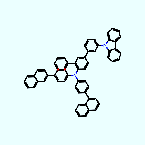 c1ccc(-c2cc(-c3cccc(-n4c5ccccc5c5ccccc54)c3)ccc2N(c2ccc(-c3ccc4ccccc4c3)cc2)c2ccc(-c3cccc4ccccc34)cc2)cc1